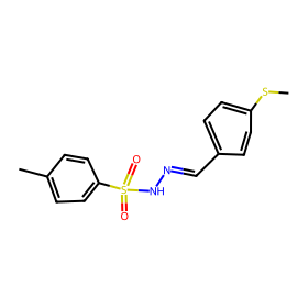 CSc1ccc(C=NNS(=O)(=O)c2ccc(C)cc2)cc1